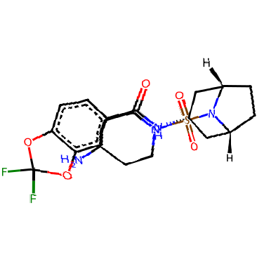 NC1CCN(S(=O)(=O)N2[C@@H]3CC[C@H]2C[C@@H](NC(=O)c2ccc4c(c2)OC(F)(F)O4)C3)CC1